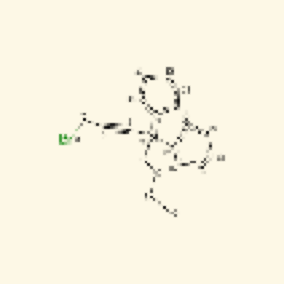 CCCC[Si](C#CCBr)(c1ccccc1)c1ccccc1